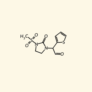 CS(=O)(=O)N1CCN(C(C=O)c2cccs2)C1=O